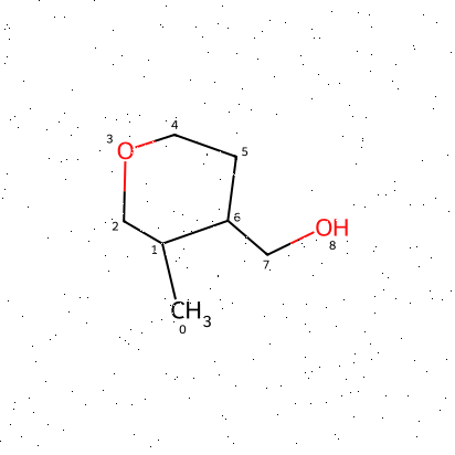 CC1COCCC1CO